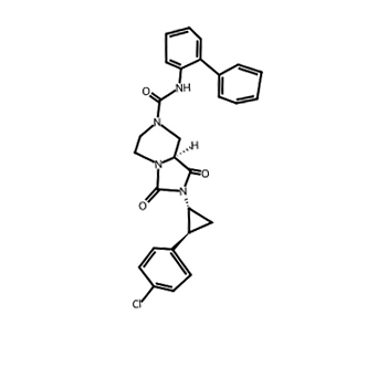 O=C(Nc1ccccc1-c1ccccc1)N1CCN2C(=O)N([C@@H]3C[C@H]3c3ccc(Cl)cc3)C(=O)[C@@H]2C1